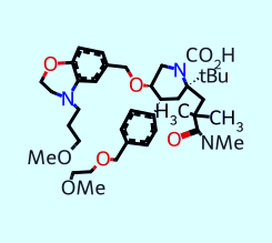 CNC(=O)C(C)(C)C[C@@]1(C(C)(C)C)C[C@H](c2ccc(COCCOC)cc2)[C@@H](OCc2ccc3c(c2)N(CCCOC)CCO3)CN1C(=O)O